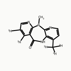 [2H]c1cnc2c(c1[2H])C(=O)Nc1c(C([2H])([2H])[2H])ccnc1N2C